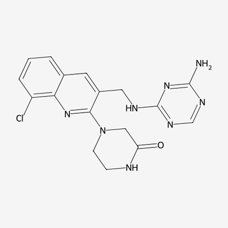 Nc1ncnc(NCc2cc3cccc(Cl)c3nc2N2CCNC(=O)C2)n1